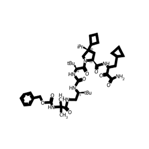 CC(C)[C@@]1(C2CCC2)C[C@@H](C(=O)NC(CC2CCC2)C(=O)C(N)=O)N(C(=O)[C@@H](NC(=O)N[C@H](CNC(=O)C(C)(C)NC(=O)OCc2ccccc2)C(C)(C)C)C(C)(C)C)C1